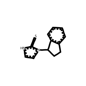 S=c1[nH]ccn1C1CCc2ccccc21